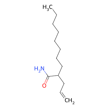 C=CCC(CCCCCCCC)C(N)=O